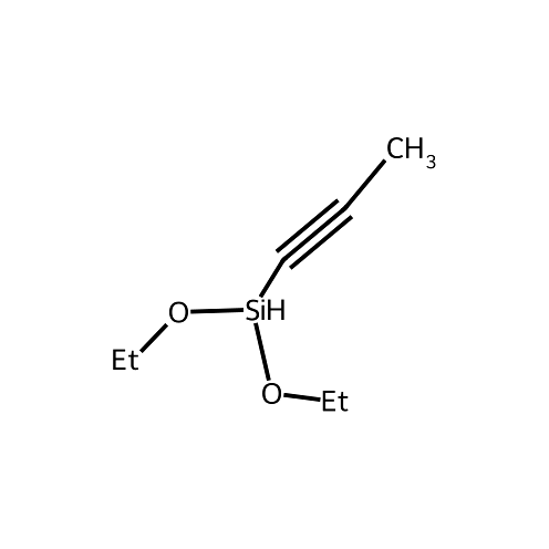 CC#C[SiH](OCC)OCC